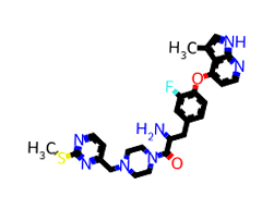 CSc1nccc(CN2CCN(C(=O)C(N)Cc3ccc(Oc4ccnc5[nH]cc(C)c45)c(F)c3)CC2)n1